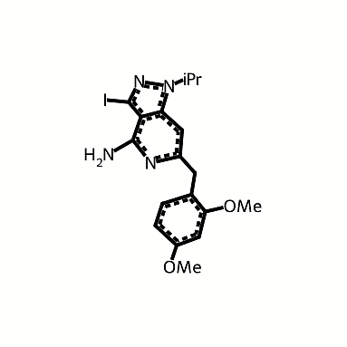 COc1ccc(Cc2cc3c(c(N)n2)c(I)nn3C(C)C)c(OC)c1